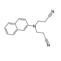 N#CCCN(CCC#N)c1ccc2ccccc2c1